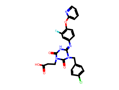 O=C(O)CCn1c(=O)[nH]/c(=N\c2ccc(Oc3ccccn3)c(F)c2)n(Cc2ccc(Cl)cc2)c1=O